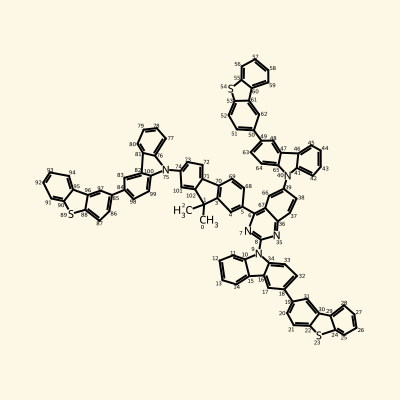 CC1(C)c2cc(-c3nc(-n4c5ccccc5c5cc(-c6ccc7sc8ccccc8c7c6)ccc54)nc4ccc(-n5c6ccccc6c6cc(-c7ccc8sc9ccccc9c8c7)ccc65)cc34)ccc2-c2ccc(-n3c4ccccc4c4cc(-c5ccc6sc7ccccc7c6c5)ccc43)cc21